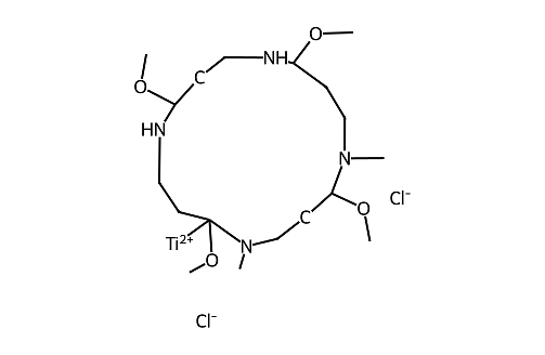 COC1CCNC(OC)CCN(C)C(OC)CCN(C)[C]([Ti+2])(OC)CCN1.[Cl-].[Cl-]